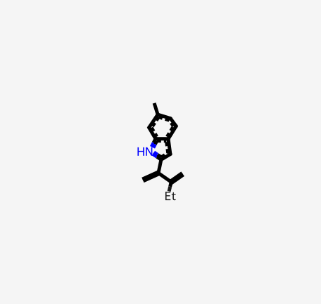 C=C(CC)C(=C)c1cc2ccc(C)cc2[nH]1